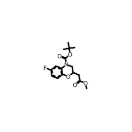 COC(=O)CC1CN(C(=O)OC(C)(C)C)c2cc(F)ccc2O1